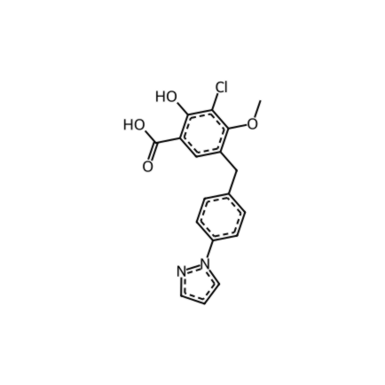 COc1c(Cc2ccc(-n3cccn3)cc2)cc(C(=O)O)c(O)c1Cl